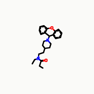 CCC(=O)N(CC)CCC1CCN(C2c3ccccc3Oc3ccccc32)CC1